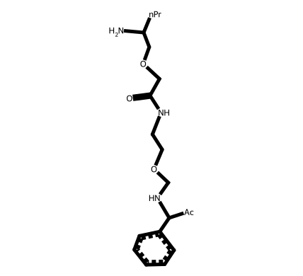 CCCC(N)COCC(=O)NCCOCNC(C(C)=O)c1ccccc1